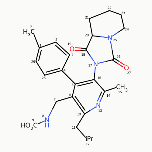 Cc1ccc(-c2c(CNC(=O)O)c(CC(C)C)nc(C)c2N2C(=O)C3CCCCN3C2=O)cc1